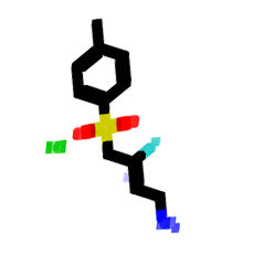 Cc1ccc(S(=O)(=O)C/C(F)=C/CN)cc1.Cl